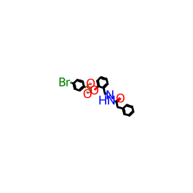 O=C(Cc1ccccc1)NN=Cc1ccccc1OS(=O)(=O)c1ccc(Br)cc1